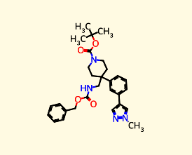 Cn1cc(-c2cccc(C3(CNC(=O)OCc4ccccc4)CCN(C(=O)OC(C)(C)C)CC3)c2)cn1